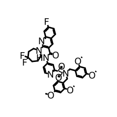 COc1ccc(CN(Cc2ccc(OC)cc2OC)S(=O)(=O)c2cc(NC(=O)c3cc4ccc(F)cc4nc3N3CCCC(F)(F)CC3)ccn2)c(OC)c1